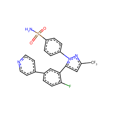 NS(=O)(=O)c1ccc(-n2nc(C(F)(F)F)cc2-c2cc(-c3ccncc3)ccc2F)cc1